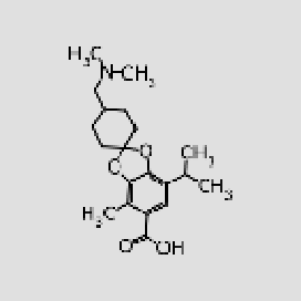 Cc1c(C(=O)O)cc(C(C)C)c2c1OC1(CCC(CN(C)C)CC1)O2